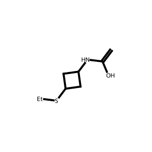 C=C(O)NC1CC(SCC)C1